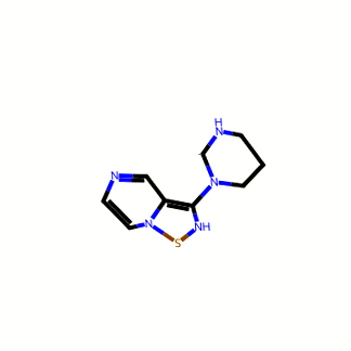 [CH]1NCCCN1C1=C2C=NC=CN2SN1